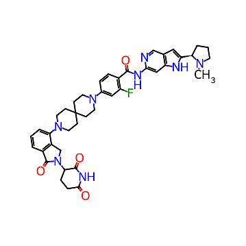 CN1CCC[C@@H]1c1cc2cnc(NC(=O)c3ccc(N4CCC5(CC4)CCN(c4cccc6c4CN(C4CCC(=O)NC4=O)C6=O)CC5)cc3F)cc2[nH]1